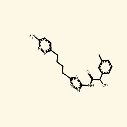 Cc1cccc(C(O)C(=O)Nc2nnc(CCCCc3ccc(N)nn3)s2)c1